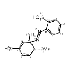 COC1C=CC(C)=CC1(N)/N=N/c1ccccc1S(=O)(=O)O